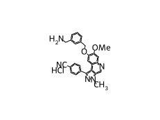 COc1cc2ncc3c(c(-c4ccc(C#N)cc4)nn3C)c2cc1OCc1cccc(CN)c1.Cl